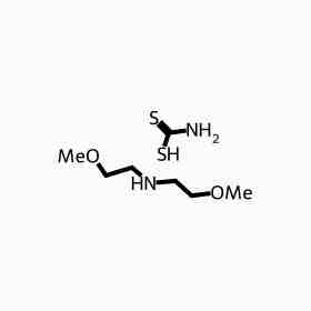 COCCNCCOC.NC(=S)S